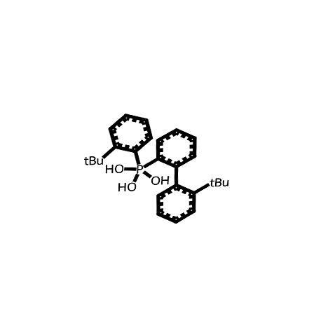 CC(C)(C)c1ccccc1-c1ccccc1P(O)(O)(O)c1ccccc1C(C)(C)C